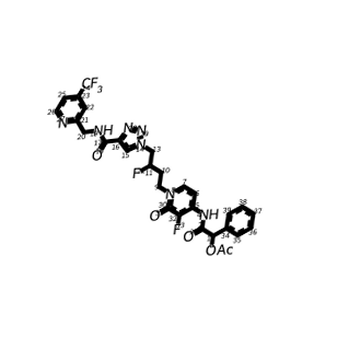 CC(=O)OC(C(=O)Nc1ccn(CCC(F)Cn2cc(C(=O)NCc3cc(C(F)(F)F)ccn3)nn2)c(=O)c1F)c1ccccc1